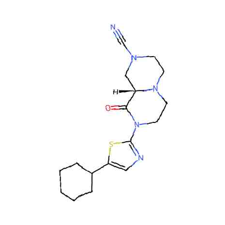 N#CN1CCN2CCN(c3ncc(C4CCCCC4)s3)C(=O)[C@@H]2C1